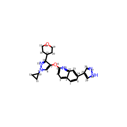 c1cc2ccc(Oc3cn(C4CC4)nc3C3CCOCC3)nc2cc1-c1cn[nH]c1